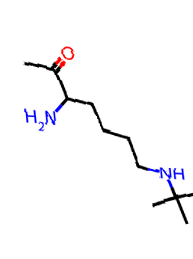 CC(=O)C(N)CCCCNC(C)(C)C